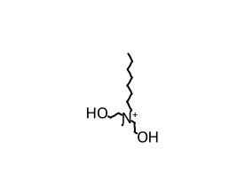 CCCCCCCC[N+](C)(CCO)CCO